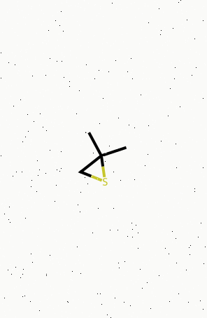 [CH2]C1(C)CS1